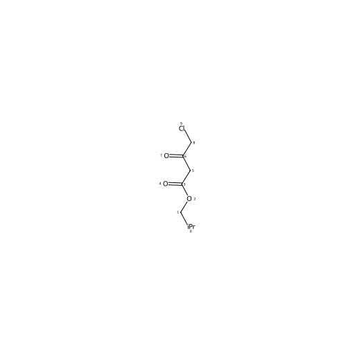 CC(C)COC(=O)CC(=O)CCl